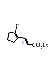 CCOC(=O)/C=C/C1=C(Cl)CCC1